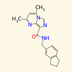 Cc1cc(C)n2cnc(C(=O)NCc3ccc4c(c3)CCC4)c2n1